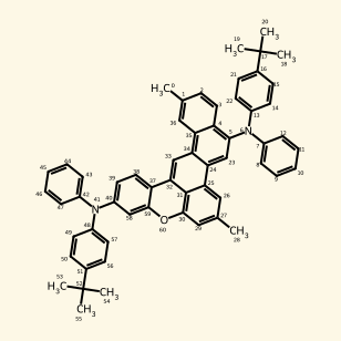 Cc1ccc2c(N(c3ccccc3)c3ccc(C(C)(C)C)cc3)cc3c4cc(C)cc5c4c(cc3c2c1)-c1ccc(N(c2ccccc2)c2ccc(C(C)(C)C)cc2)cc1O5